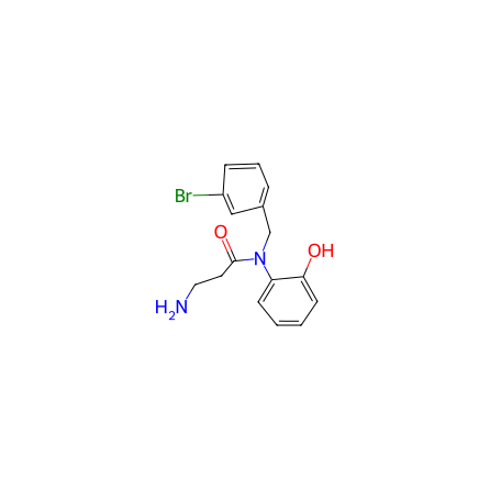 NCCC(=O)N(Cc1cccc(Br)c1)c1ccccc1O